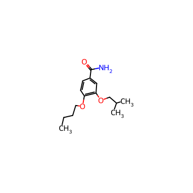 CCCCOc1ccc(C(N)=O)cc1OCC(C)C